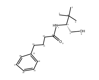 CC(C)(C)[C@H](CO)NC(=O)C[CH]Cc1ccccc1